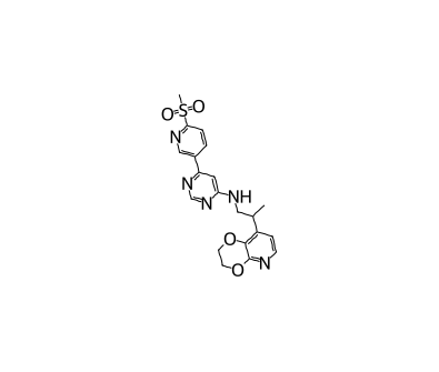 CC(CNc1cc(-c2ccc(S(C)(=O)=O)nc2)ncn1)c1ccnc2c1OCCO2